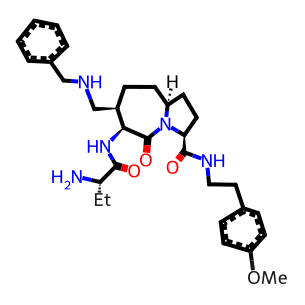 CC[C@H](N)C(=O)N[C@@H]1C(=O)N2[C@@H](CC[C@@H]1CNCc1ccccc1)CC[C@H]2C(=O)NCCc1ccc(OC)cc1